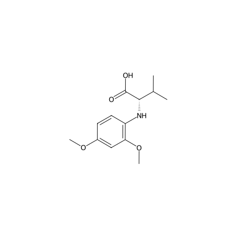 COc1ccc(N[C@H](C(=O)O)C(C)C)c(OC)c1